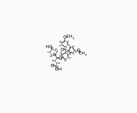 COc1ccc(C(OC[C@H]2C[C@H](O)CCN2C(=O)CCC(=O)O)(c2ccccc2)c2ccc(OC)cc2)cc1